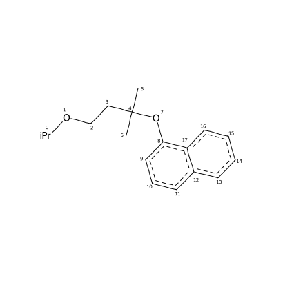 CC(C)OCCC(C)(C)Oc1cccc2ccccc12